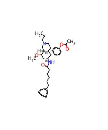 C=CCN1CC[C@@]2(c3cccc(OC(C)=O)c3)C[C@H](NC(=O)CCCCCc3ccccc3)CC(OC)[C@@H]2C1